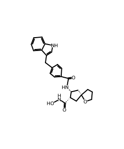 O=C(N[C@@H]1C[C@@]2(CCCO2)C[C@@H]1C(=O)NO)c1ccc(Cc2c[nH]c3ccccc23)cc1